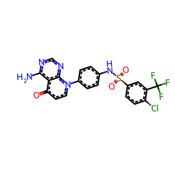 Nc1ncnc2c1c(=O)ccn2-c1ccc(NS(=O)(=O)c2ccc(Cl)c(C(F)(F)F)c2)cc1